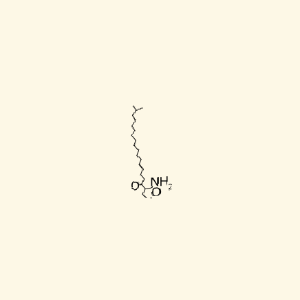 [CH2]CC(C(N)=O)C(=O)CCCCCCCCCCCCCCC(C)C